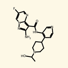 CC(O)N1CCC(c2ccncc2NC(=O)c2c(N)nn3cc(F)cnc23)CC1